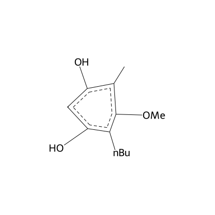 CCCCc1c(O)cc(O)c(C)c1OC